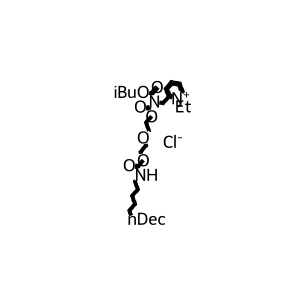 CCCCCCCCCCCCCCCNC(=O)OCCOCCOC(=O)N(Cc1cccc[n+]1CC)C(=O)OCC(C)C.[Cl-]